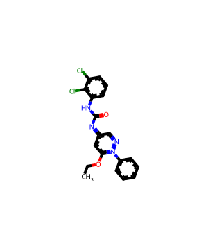 CCOc1cc(=NC(=O)Nc2cccc(Cl)c2Cl)cnn1-c1ccccc1